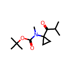 CC(C)C(=O)C1(N(C)C(=O)OC(C)(C)C)CC1